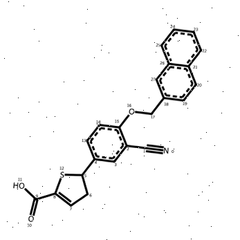 N#Cc1cc(C2CC=C(C(=O)O)S2)ccc1OCc1ccc2ccccc2c1